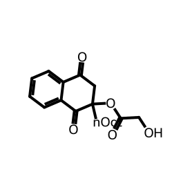 CCCCCCCCC1(OC(=O)CO)CC(=O)c2ccccc2C1=O